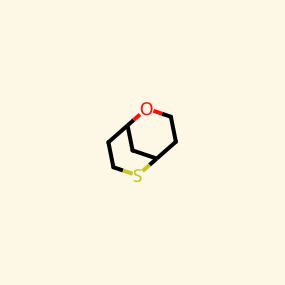 C1CC2CC(CCS2)O1